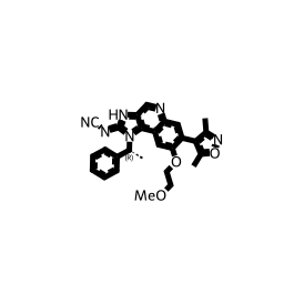 COCCOc1cc2c(cc1-c1c(C)noc1C)ncc1[nH]c(=NC#N)n([C@H](C)c3ccccc3)c12